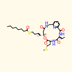 C/C=C1\NC(=O)c2cccc(n2)CNC(=O)C[C@@H](/C=C/CCSC(=O)CCCCCCC)OC(=O)[C@H](CCSC)NC1=O